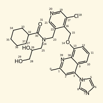 Cc1cc(-n2ccnc2)c2cccc(OCc3c(Cl)cncc3CN(CC(O)CO)C(=O)C3CCCCC3)c2n1